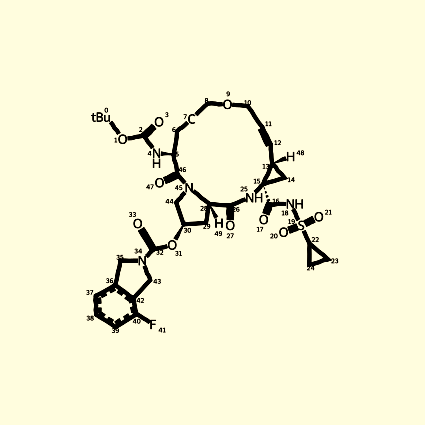 CC(C)(C)OC(=O)N[C@H]1CCCOCC=C[C@@H]2C[C@@]2(C(=O)NS(=O)(=O)C2CC2)NC(=O)[C@@H]2C[C@@H](OC(=O)N3Cc4cccc(F)c4C3)CN2C1=O